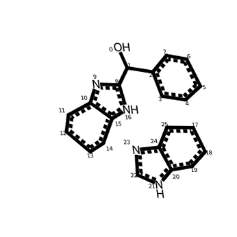 OC(c1ccccc1)c1nc2ccccc2[nH]1.c1ccc2[nH]cnc2c1